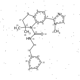 Cn1ccnc1-c1ccc2c(c1)N(C(=O)NCCc1ccccc1)C(C)(C)CC2